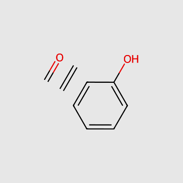 C=C.C=O.Oc1ccccc1